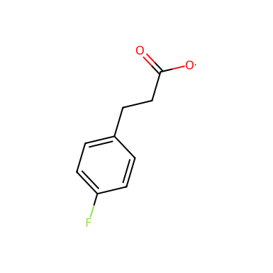 [O]C(=O)CCc1ccc(F)cc1